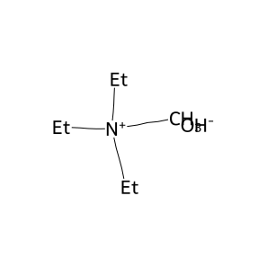 CC[N+](C)(CC)CC.[OH-]